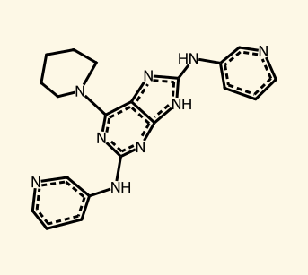 c1cncc(Nc2nc(N3CCCCC3)c3nc(Nc4cccnc4)[nH]c3n2)c1